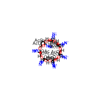 CC(=O)OC1C2O[C@@H]3OC(CN=[N+]=[N-])[C@@H](O[C@H]4OC(CN=[N+]=[N-])[C@@H](O[C@H]5OC(CN=[N+]=[N-])[C@@H](O[C@H]6OC(CN=[N+]=[N-])[C@@H](O[C@H]7OC(CN=[N+]=[N-])[C@H](O[C@@H]8OC(CN=[N+]=[N-])[C@@H](O[C@H](OC2CN=[N+]=[N-])C1OC(C)=O)C(OC(C)=O)C8OC(C)=O)C(OC(C)=O)C7OC(C)=O)C(OC(C)=O)C6OC(C)=O)C(OC(C)=O)C5OC(C)=O)C(OC(C)=O)C4OC(C)=O)C(OC(C)=O)C3OC(C)=O